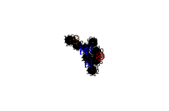 c1ccc(-c2cc(-c3ccc4c(c3)sc3ccccc34)nc(-c3ccc4nc(-c5ccccc5)c5ccc6oc7ccccc7c6c5c4c3)n2)cc1